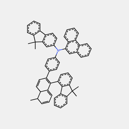 CC1C=CC=C2C(c3cccc4c3-c3ccccc3C4(C)C)=C(c3ccc(N(c4ccc5c(c4)C(C)(C)c4ccccc4-5)c4cc5ccccc5c5ccccc45)cc3)C=CC21